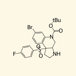 CC(C)(C)OC(=O)N1CC2NCCC2(S(=O)(=O)c2ccc(F)cc2)c2ccc(Br)cc21